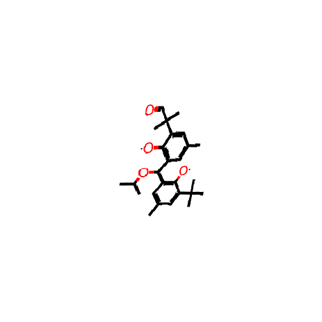 Cc1cc(C(OC(C)C)c2cc(C)cc(C(C)(C)C=O)c2[O])c([O])c(C(C)(C)C)c1